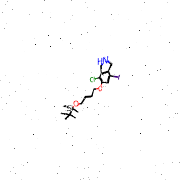 CC(C)(C)[Si](C)(C)OCCCCOc1cc(I)c2c(c1Cl)CNC2